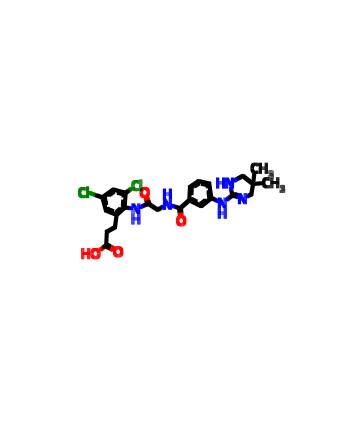 CC1(C)CN=C(Nc2cccc(C(=O)NCC(=O)Nc3c(Cl)cc(Cl)cc3CCC(=O)O)c2)NC1